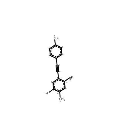 CCCCc1ccc(C#Cc2cc(F)c(C)cc2CCC)cc1